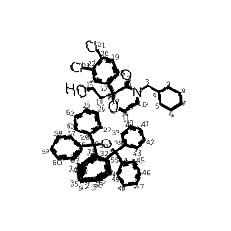 O=C1N(CC2CCCCC2)CCO[C@]1(CCO)c1ccc(Cl)c(Cl)c1.c1ccc(C(OC(c2ccccc2)(c2ccccc2)c2ccccc2)(c2ccccc2)c2ccccc2)cc1